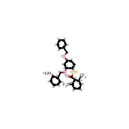 O=C(Pc1ccc(OCc2ccccc2)cc1OCc1ccccc1)c1c(C(F)(F)F)cccc1C(F)(F)F.[LiH]